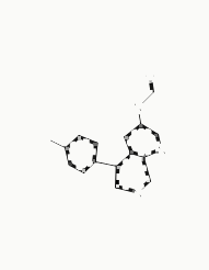 O=CNc1cnc2cncc(-c3ccc(F)cc3)c2c1